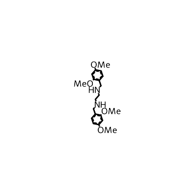 COc1ccc(CNCCNCc2ccc(OC)cc2OC)c(OC)c1